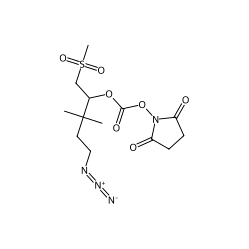 CC(C)(CCN=[N+]=[N-])C(CS(C)(=O)=O)OC(=O)ON1C(=O)CCC1=O